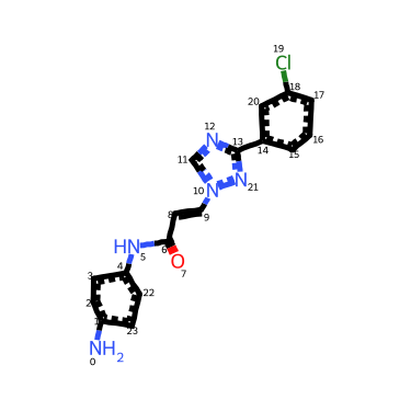 Nc1ccc(NC(=O)/C=C/n2cnc(-c3cccc(Cl)c3)n2)cc1